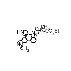 CCOC(=O)CN(C)C(=O)Cn1nc(C2CCNCC2)c2c(-c3cc4c(cnn4C)cc3F)cccc21